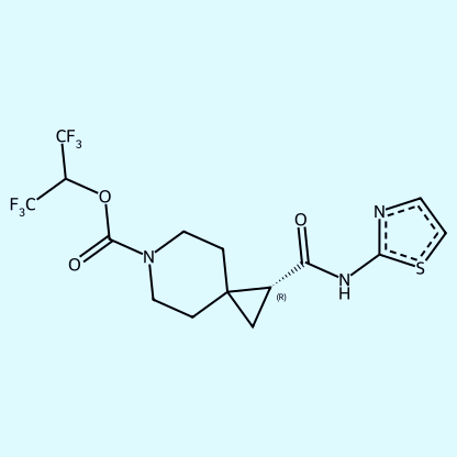 O=C(Nc1nccs1)[C@@H]1CC12CCN(C(=O)OC(C(F)(F)F)C(F)(F)F)CC2